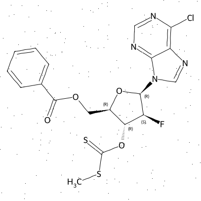 CSC(=S)O[C@H]1[C@H](F)[C@H](n2cnc3c(Cl)ncnc32)O[C@@H]1COC(=O)c1ccccc1